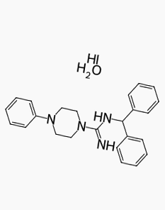 I.N=C(NC(c1ccccc1)c1ccccc1)N1CCN(c2ccccc2)CC1.O